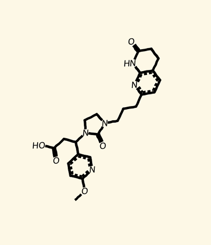 COc1ccc(C(CC(=O)O)N2CCN(CCCc3ccc4c(n3)NC(=O)CC4)C2=O)cn1